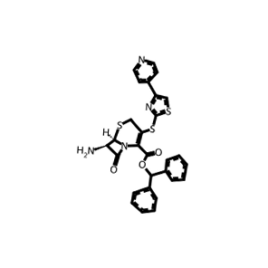 N[C@@H]1C(=O)N2C(C(=O)OC(c3ccccc3)c3ccccc3)=C(Sc3nc(-c4ccncc4)cs3)CS[C@H]12